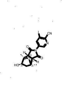 C[C@]12O[C@](C)(C[C@@H]1O)[C@H]1C(=O)N(c3cnc(C#N)c(I)c3)C(=O)[C@H]12